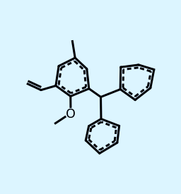 C=Cc1cc(C)cc(C(c2ccccc2)c2ccccc2)c1OC